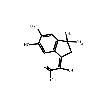 COc1cc2c(cc1O)C(=C(C#N)C(=O)C(C)(C)C)CC2(C)C